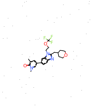 Cc1cc(-c2ccc3nc(CC4CCOCC4)n(CCOC(F)(F)F)c3c2)cn(C)c1=O